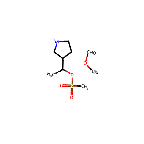 CC(C)(C)OC=O.CC(OS(C)(=O)=O)C1CCNC1